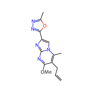 C=CCc1c(OC)nc2nc(-c3nnc(C)o3)cn2c1C